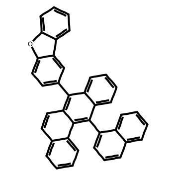 c1ccc2c(-c3c4ccccc4c(-c4ccc5oc6ccccc6c5c4)c4ccc5ccccc5c34)cccc2c1